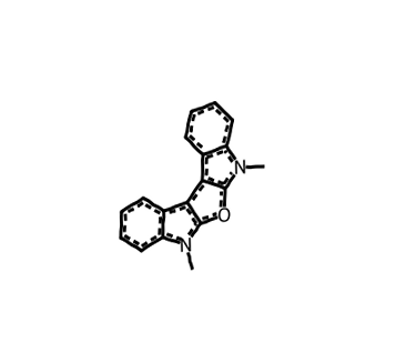 Cn1c2ccccc2c2c3c4ccccc4n(C)c3oc21